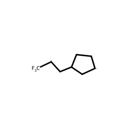 FC(F)(F)[CH]CC1C[CH]CC1